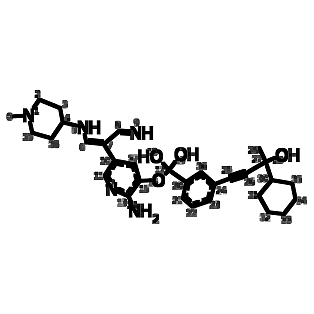 CN1CCC(N/C=C(\C=N)c2cnc(N)c(OC(O)(O)c3cccc(C#CC(C)(O)C4CCCCC4)c3)c2)CC1